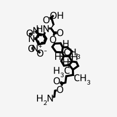 C[C@H](CCC(=O)OCCN)C1CC[C@H]2[C@@H]3CC[C@@H]4C[C@H](OC(=O)[C@H](CC(=O)O)Nc5ccc([N+](=O)[O-])c6nonc56)CC[C@]4(C)[C@H]3CC[C@]12C